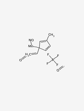 C=C[C]1([Mn][N]=O)C=CC(C)=C1.F[B-](F)(F)F.[C]=O.[C]=O